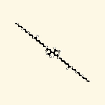 COCCOCCOCCOC(=O)CCCCCOC(=O)CC(C(=O)O)C(CC(=O)OCCCCCC(=O)OCCOCCOCCOC)C(=O)O